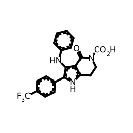 O=C(O)N1CCc2[nH]c(-c3ccc(C(F)(F)F)cc3)c(Nc3ccccc3)c2C1=O